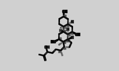 C=C(C)C(O)CC[C@@H](C)[C@H]1CC[C@H]2[C@@H]3[C@H](O)C[C@@H]4C[C@H](O)CC[C@]4(C)[C@H]3C[C@H](O)[C@]12C